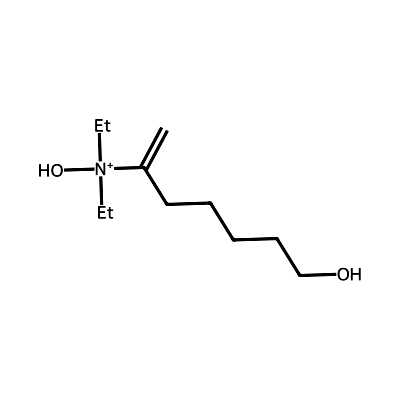 C=C(CCCCCO)[N+](O)(CC)CC